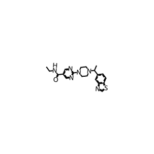 CCNC(=O)c1cnc(N2CCN(C(C)c3ccc4scnc4c3)CC2)nc1